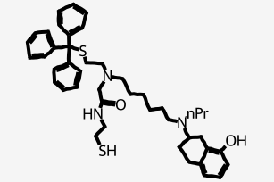 CCCN(CCCCCCN(CCSC(c1ccccc1)(c1ccccc1)c1ccccc1)CC(=O)NCCS)C1CCc2cccc(O)c2C1